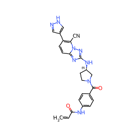 C=CC(=O)Nc1ccc(C(=O)N2CC[C@@H](Nc3nc4ccc(-c5cn[nH]c5)c(C#N)n4n3)C2)cc1